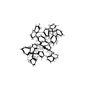 c1ccc(C2(c3ccccc3)c3ccccc3-c3ccc(-c4c5ccc(N6CCCc7ccccc76)cc5c(-c5ccc6c(c5)C(c5ccccc5)(c5ccccc5)c5ccccc5-6)c5ccc(N6CCCc7ccccc76)cc45)cc32)cc1